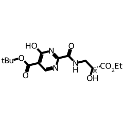 CCOC(=O)[C@H](O)CNC(=O)c1ncc(C(=O)OC(C)(C)C)c(O)n1